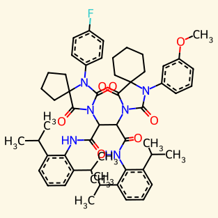 COc1cccc(N2C(=O)N(C(C(=O)Nc3c(C(C)C)cccc3C(C)C)C(C(=O)Nc3c(C(C)C)cccc3C(C)C)N3C(=O)N(c4ccc(F)cc4)C4(CCCC4)C3=O)C(=O)C23CCCCC3)c1